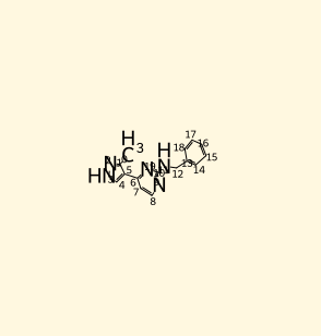 Cc1n[nH]cc1-c1ccnc(NCc2ccccc2)n1